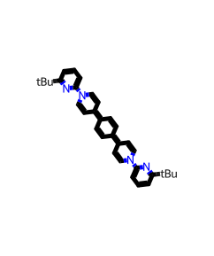 CC(C)(C)c1cccc(N2C=CC(=c3ccc(=C4C=CN(c5cccc(C(C)(C)C)n5)C=C4)cc3)C=C2)n1